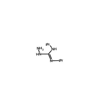 CC(C)N=C(NN)NC(C)C